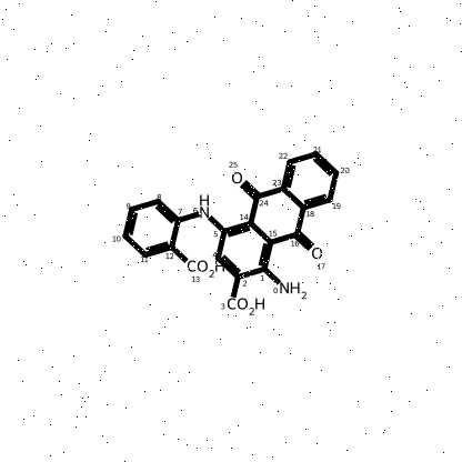 Nc1c(C(=O)O)cc(Nc2ccccc2C(=O)O)c2c1C(=O)c1ccccc1C2=O